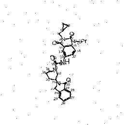 CC(C)n1c(=O)n(CC2CC2)c(=O)c2cc(NC(=O)N3CCCC(N4Cc5ccccc5C4=O)C3)ccc21